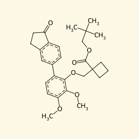 COc1ccc(-c2ccc3c(c2)CCC3=O)c(OCC2(C(=O)OCC(C)(C)C)CCC2)c1OC